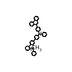 CN(C1=C(c2ccc(-c3ccc(N(c4ccccc4)c4ccc(-c5cc6ccccc6c6ccccc56)cc4)cc3)cc2)CCC=C1)c1ccccc1